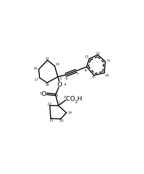 O=C(O)C1(C(=O)OC2(C#Cc3ccccc3)CCCCC2)CCCC1